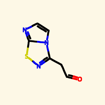 O=CCc1nsc2nccn12